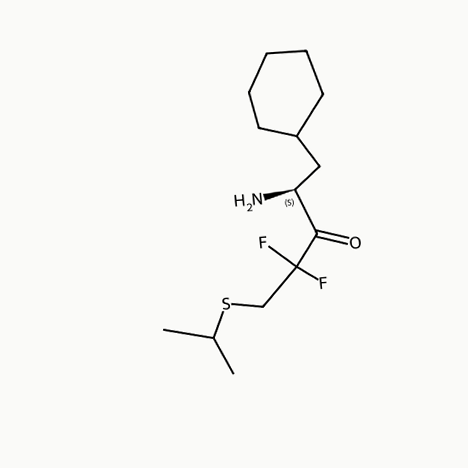 CC(C)SCC(F)(F)C(=O)[C@@H](N)CC1CCCCC1